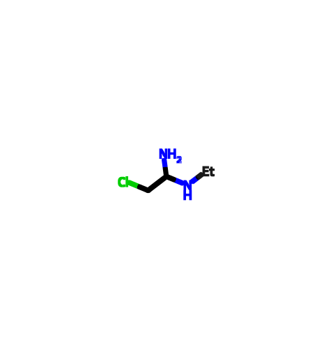 CCNC(N)CCl